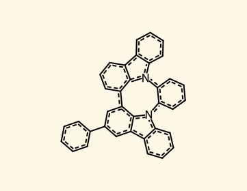 c1ccc(-c2cc3c4ccccc4n4c5ccccc5n5c6ccccc6c6cccc(c(c2)c34)c65)cc1